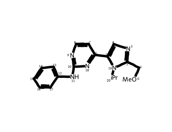 COCc1ncc(-c2ccnc(Nc3ccccc3)n2)n1C(C)C